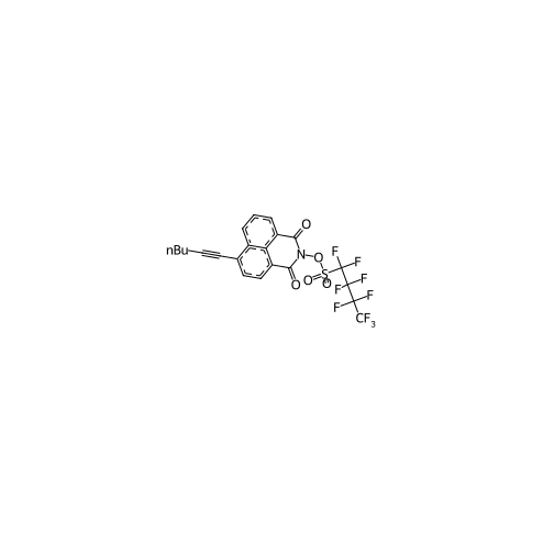 CCCCC#Cc1ccc2c3c(cccc13)C(=O)N(OS(=O)(=O)C(F)(F)C(F)(F)C(F)(F)C(F)(F)F)C2=O